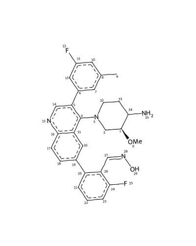 CO[C@H]1CN(c2c(-c3cc(C)cc(F)c3)cnc3ccc(-c4cccc(F)c4C=NO)cc23)CCC1N